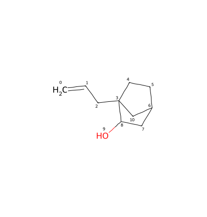 C=CCC12CCC(CC1O)C2